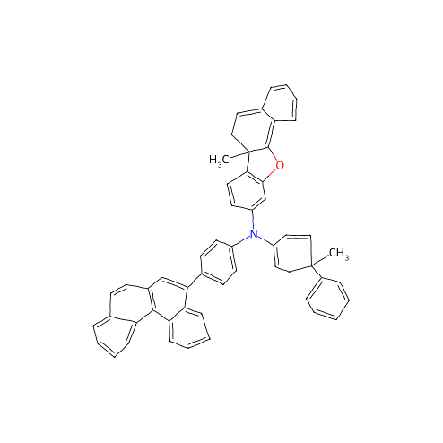 CC1(c2ccccc2)C=CC(N(c2ccc(-c3cc4ccc5ccccc5c4c4ccccc34)cc2)c2ccc3c(c2)OC2=c4ccccc4=CCC23C)=CC1